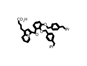 CC(C)Cc1ccc(COc2cccc(C(=O)c3cc(CCCC(=O)O)c4ccccn34)c2OCc2ccc(CC(C)C)cc2)cc1